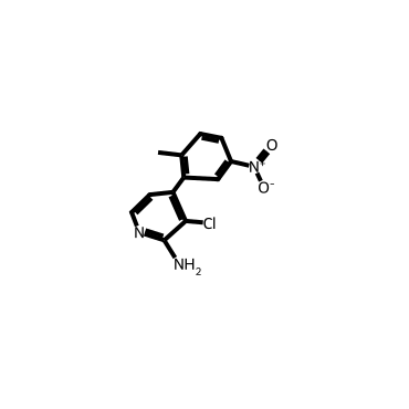 Cc1ccc([N+](=O)[O-])cc1-c1ccnc(N)c1Cl